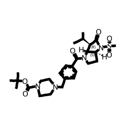 CC(C)[C@H]1C(=O)N(S(C)(=O)=O)[C@H]2CCN(C(=O)c3ccc(CN4CCN(C(=O)OC(C)(C)C)CC4)cc3)[C@H]12